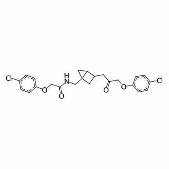 O=C(COc1ccc(Cl)cc1)CC1CC2(CNC(=O)COc3ccc(Cl)cc3)CC12